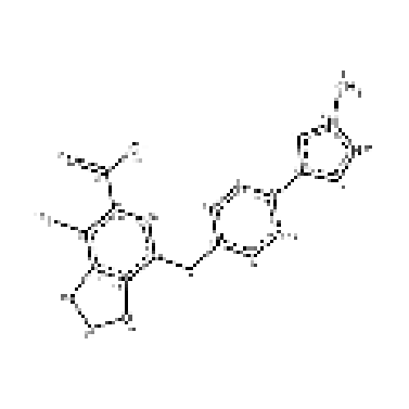 Cn1cc(-c2ccc(Cc3cc(C(=O)O)c(F)c4c3OCC4)cn2)cn1